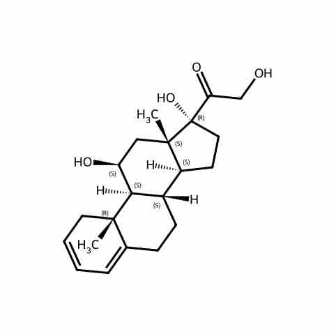 C[C@]12CC=CC=C1CC[C@@H]1[C@@H]2[C@@H](O)C[C@@]2(C)[C@H]1CC[C@]2(O)C(=O)CO